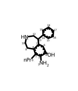 CCCc1c(N)c(O)cc2c1CCNCC2c1ccccc1